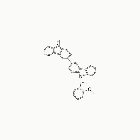 COc1ccccc1C(C)(C)n1c2ccccc2c2cc(-c3ccc4[nH]c5ccccc5c4c3)ccc21